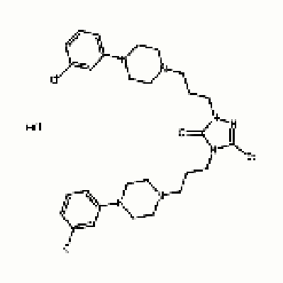 CCc1nn(CCCN2CCN(c3cccc(Cl)c3)CC2)c(=O)n1CCCN1CCN(c2cccc(Cl)c2)CC1.Cl